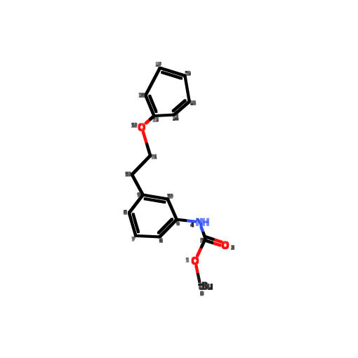 CC(C)(C)OC(=O)Nc1cccc(CCOc2[c]cccc2)c1